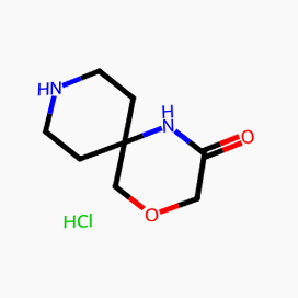 Cl.O=C1COCC2(CCNCC2)N1